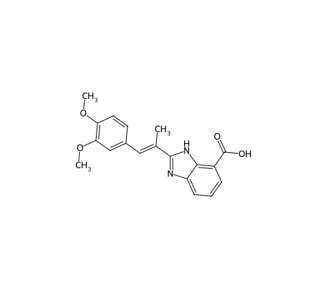 COc1ccc(C=C(C)c2nc3cccc(C(=O)O)c3[nH]2)cc1OC